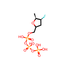 C[C@@H]1OC(COP(=O)(O)OP(=O)(O)OP(=O)(O)O)C[C@@H]1F